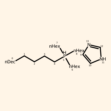 CCCCCCCCCCCCCC[PH](CCCCCC)(CCCCCC)CCCCCC.c1c[nH]cn1